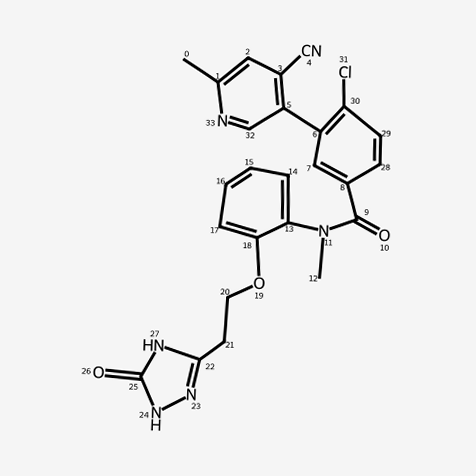 Cc1cc(C#N)c(-c2cc(C(=O)N(C)c3ccccc3OCCc3n[nH]c(=O)[nH]3)ccc2Cl)cn1